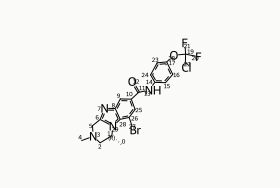 C[C@@H]1CN(C)Cc2nc3cc(C(=O)Nc4ccc(OC(F)(F)Cl)cc4)cc(Br)c3n21